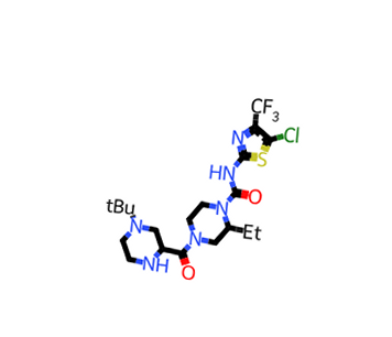 [CH2]CC1CN(C(=O)C2CN(C(C)(C)C)CCN2)CCN1C(=O)Nc1nc(C(F)(F)F)c(Cl)s1